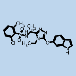 CCn1c(Oc2ccc3cc[nH]c3c2)nnc1[C@@H](C)NS(=O)(=O)c1c(C)cccc1Cl